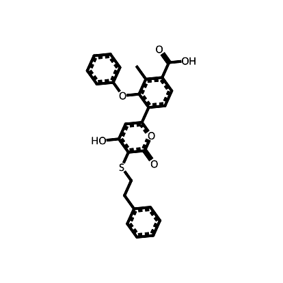 Cc1c(C(=O)O)ccc(-c2cc(O)c(SCCc3ccccc3)c(=O)o2)c1Oc1ccccc1